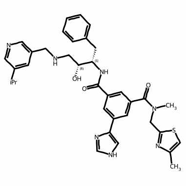 Cc1csc(CN(C)C(=O)c2cc(C(=O)N[C@@H](Cc3ccccc3)[C@H](O)CNCc3cncc(C(C)C)c3)cc(-c3c[nH]cn3)c2)n1